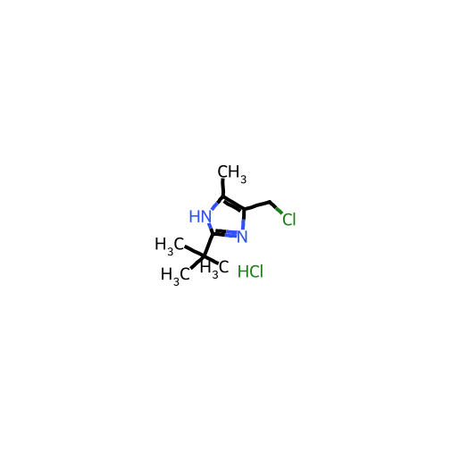 Cc1[nH]c(C(C)(C)C)nc1CCl.Cl